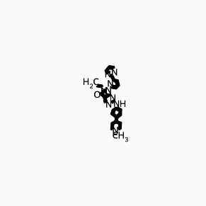 C=CCn1c(=O)c2cnc(Nc3ccc(C4CCN(C)CC4)cc3)nc2n1-c1cccc(-c2ncccn2)n1